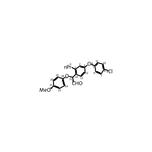 CCCc1cc(Oc2ccc(Cl)cc2)ccc1C(C=O)Oc1ccc(OC)cc1